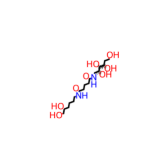 O=C(CCCC(=O)NC[C@H](O)[C@@H](O)[C@H](O)CCO)NCCCCC(O)CO